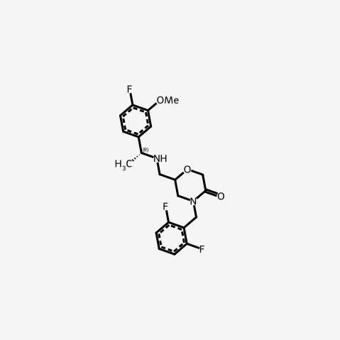 COc1cc([C@@H](C)NCC2CN(Cc3c(F)cccc3F)C(=O)CO2)ccc1F